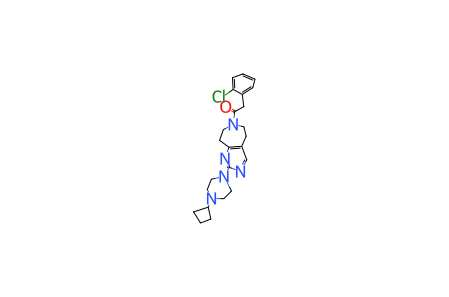 O=C(Cc1ccccc1Cl)N1CCc2cnc(N3CCN(C4CCC4)CC3)nc2CC1